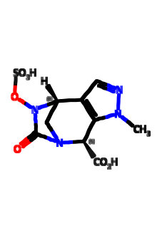 Cn1ncc2c1[C@@H](C(=O)O)N1C[C@@H]2N(OS(=O)(=O)O)C1=O